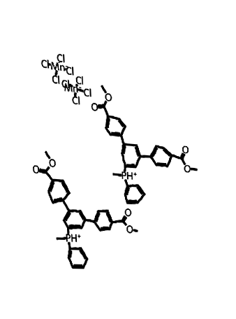 COC(=O)c1ccc(-c2cc(-c3ccc(C(=O)OC)cc3)cc([PH+](C)c3ccccc3)c2)cc1.COC(=O)c1ccc(-c2cc(-c3ccc(C(=O)OC)cc3)cc([PH+](C)c3ccccc3)c2)cc1.[Cl][Mn-]([Cl])([Cl])[Cl].[Cl][Mn-]([Cl])([Cl])[Cl]